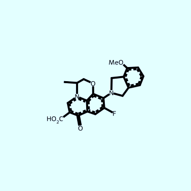 COc1cccc2c1CN(c1c(F)cc3c(=O)c(C(=O)O)cn4c3c1OCC4C)C2